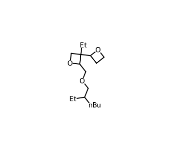 CCCCC(CC)COCC1OCC1(CC)C1CCO1